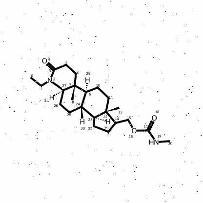 CCN1C(=O)CC[C@]2(C)[C@H]3CC[C@]4(C)C(COC(=O)NC)CC[C@H]4[C@@H]3CC[C@@H]12